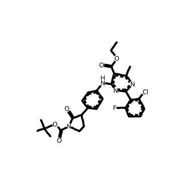 CCOC(=O)c1c(C)nc(-c2c(F)cccc2Cl)nc1Nc1ccc(C2CCN(C(=O)OC(C)(C)C)C2=O)cc1